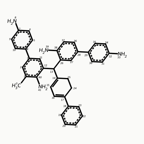 Cc1cc(-c2ccc(N)cc2)cc(C(C2=CC=C(c3ccccc3)CC2)c2cc(-c3ccc(N)cc3)ccc2N)c1N